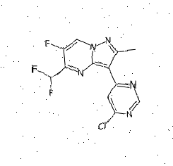 Cc1nn2cc(F)c(C(F)F)nc2c1-c1cc(Cl)ncn1